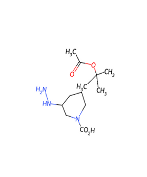 CC(=O)OC(C)(C)C.NNC1CCCN(C(=O)O)C1